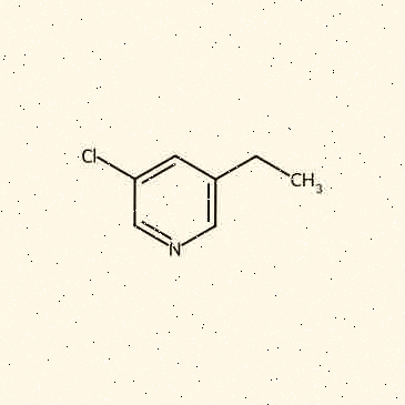 CCc1cncc(Cl)c1